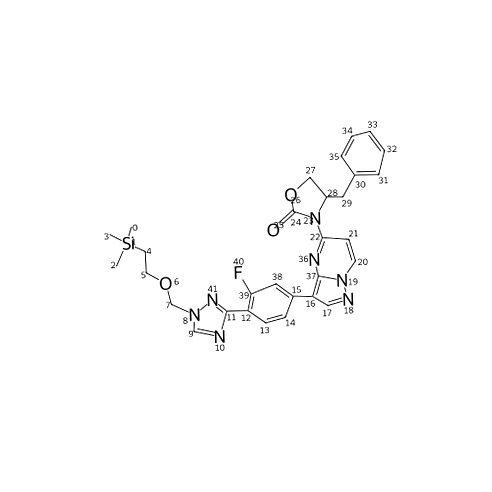 C[Si](C)(C)CCOCn1cnc(-c2ccc(-c3cnn4ccc(N5C(=O)OCC5Cc5ccccc5)nc34)cc2F)n1